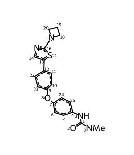 CNC(=O)Nc1ccc(Oc2ccc(-c3cnc(N4CCC4)s3)cc2)cc1